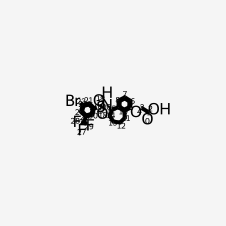 O=C(O)COc1cccc2c1CCCCC2NS(=O)(=O)c1cc(Br)cc(C(F)(F)F)c1